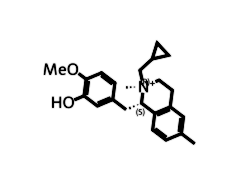 COc1ccc(C[C@H]2c3ccc(C)cc3CC[N@+]2(C)CC2CC2)cc1O